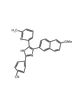 COc1ccc2cc(-c3nc(-c4ccc(C#N)cc4)[nH]c3-c3cccc(C)n3)ccc2c1